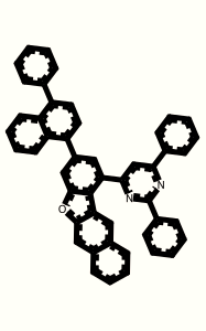 c1ccc(-c2cc(-c3cc(-c4ccc(-c5ccccc5)c5ccccc45)cc4oc5cc6ccccc6cc5c34)nc(-c3ccccc3)n2)cc1